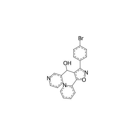 OC(c1cccnc1)c1c(-c2ccc(Br)cc2)noc1-c1ccccn1